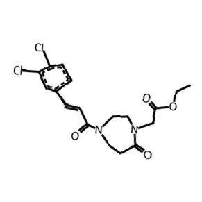 CCOC(=O)CN1CCN(C(=O)C=Cc2ccc(Cl)c(Cl)c2)CCC1=O